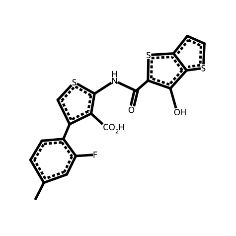 Cc1ccc(-c2csc(NC(=O)c3sc4ccsc4c3O)c2C(=O)O)c(F)c1